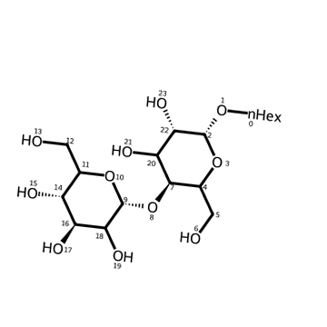 CCCCCCO[C@@H]1OC(CO)[C@@H](O[C@H]2OC(CO)[C@@H](O)[C@H](O)C2O)C(O)[C@@H]1O